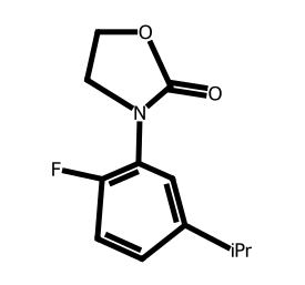 CC(C)c1ccc(F)c(N2CCOC2=O)c1